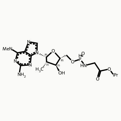 CNc1nc(N)nc2c1ncn2[C@@H]1O[C@H](CO[PH](=O)NCC(=O)OC(C)C)[C@@H](O)[C@@H]1C